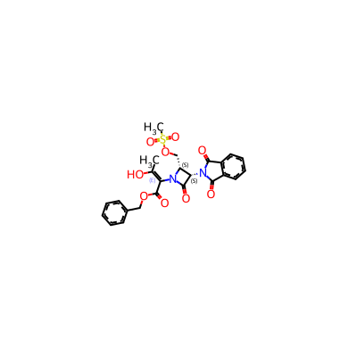 C/C(O)=C(/C(=O)OCc1ccccc1)N1C(=O)[C@@H](N2C(=O)c3ccccc3C2=O)[C@H]1COS(C)(=O)=O